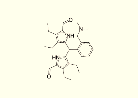 CCc1c(C=O)[nH]c(C(c2ccccc2CN(C)C)c2[nH]c(C=O)c(CC)c2CC)c1CC